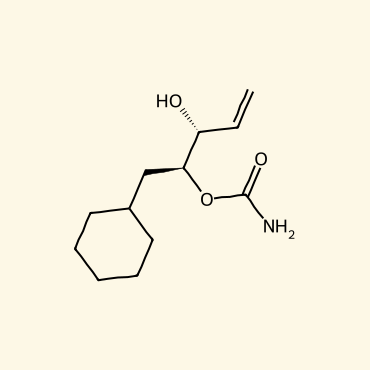 C=C[C@@H](O)[C@H](CC1CCCCC1)OC(N)=O